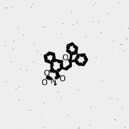 Cn1c(=O)oc2c(c3c(c4ccccc42)OC(c2ccccc2)(c2ccccc2)C=C3)c1=O